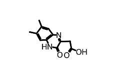 Cc1cc2nc(CC(=O)O)c(=O)[nH]c2cc1C